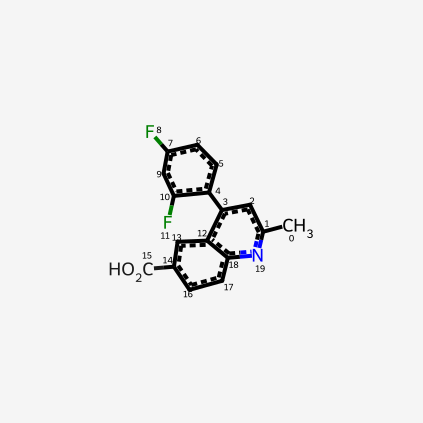 Cc1cc(-c2ccc(F)cc2F)c2cc(C(=O)O)ccc2n1